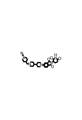 N#CB1CCC(CN2CCC(C3CCN(c4ccc5c(c4)C(=O)N(C4CCC(=O)NC4=O)C5=O)CC3)CC2)CC1